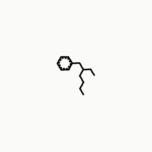 CCCCC(CC)Cc1[c]cccc1